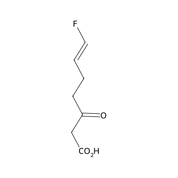 O=C(O)CC(=O)CCC=CF